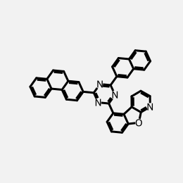 c1ccc2cc(-c3nc(-c4ccc5c(ccc6ccccc65)c4)nc(-c4cccc5oc6ncccc6c45)n3)ccc2c1